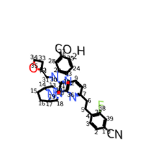 N#Cc1ccc(CCc2cccc(N3CC4CCC(C3)N4Cc3nc4ccc(C(=O)O)cc4n3C[C@@H]3CCO3)n2)c(F)c1